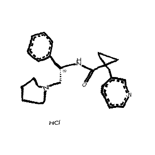 Cl.O=C(N[C@H](CN1CCCC1)c1ccccc1)C1(c2cccnc2)CC1